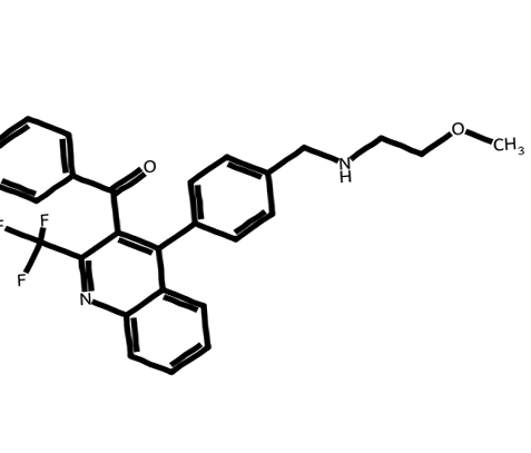 COCCNCc1ccc(-c2c(C(=O)c3ccccc3)c(C(F)(F)F)nc3ccccc23)cc1